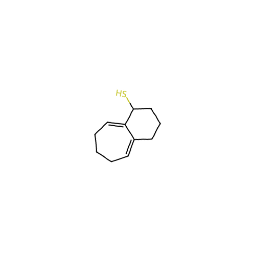 SC1CCCC2=CCCCC=C21